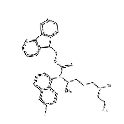 CCN(CCO)CCCC(C)N(C(=O)OCC1c2ccccc2-c2ccccc21)c1ccnc2cc(Cl)ccc12